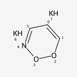 C1=COON=C1.[KH].[KH]